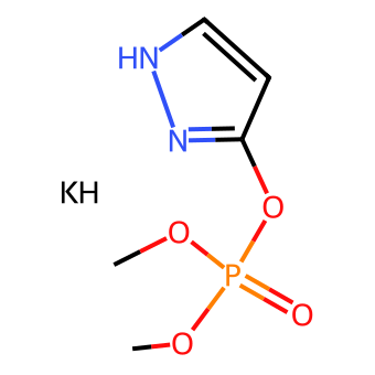 COP(=O)(OC)Oc1cc[nH]n1.[KH]